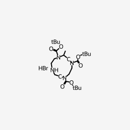 Br.CC1CN(C(=O)OC(C)(C)C)CCN(C(=O)OC(C)(C)C)CCNCCN1C(=O)OC(C)(C)C